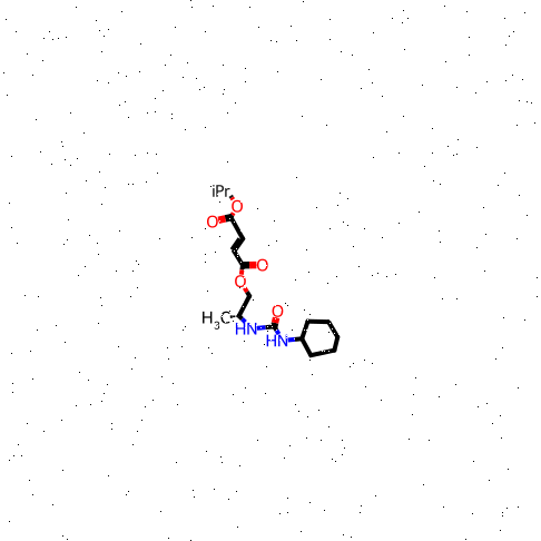 CC(C)OC(=O)/C=C/C(=O)OC[C@@H](C)NC(=O)NC1CCCCC1